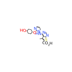 Cc1c(C(=O)O)sc2ncnc(NN3CC=CN=C3O[C@H]3CC[C@H](O)CC3)c12